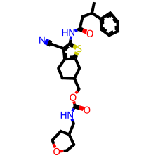 CC(CC(=O)Nc1sc2c(c1C#N)CCC(COC(=O)NCC1CCOCC1)C2)c1ccccc1